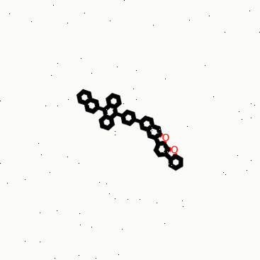 c1ccc2cc(-c3c4ccccc4c(-c4ccc(-c5ccc6cc7oc8c(ccc9c%10ccccc%10oc98)c7cc6c5)cc4)c4ccccc34)ccc2c1